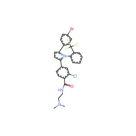 CN(C)CCNC(=O)c1ccc(-c2ccc(-c3ccc(Br)cc3)n2-c2ccccc2C(F)(F)F)cc1Cl